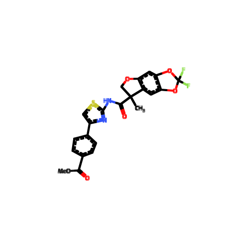 COC(=O)c1ccc(-c2csc(NC(=O)C3(C)COc4cc5c(cc43)OC(F)(F)O5)n2)cc1